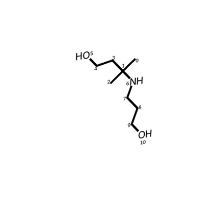 CC(C)(CCO)NCCCO